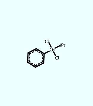 C[CH](C)[Os]([Cl])([Cl])[c]1ccccc1